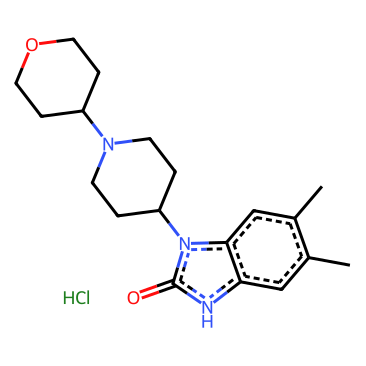 Cc1cc2[nH]c(=O)n(C3CCN(C4CCOCC4)CC3)c2cc1C.Cl